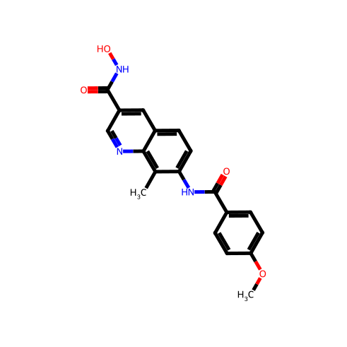 COc1ccc(C(=O)Nc2ccc3cc(C(=O)NO)cnc3c2C)cc1